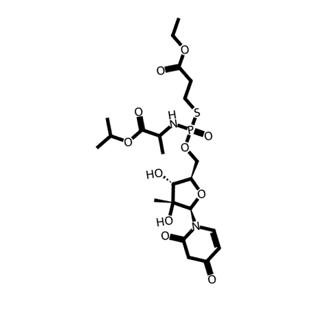 CCOC(=O)CCSP(=O)(NC(C)C(=O)OC(C)C)OC[C@H]1O[C@@H](N2C=CC(=O)CC2=O)[C@](C)(O)[C@@H]1O